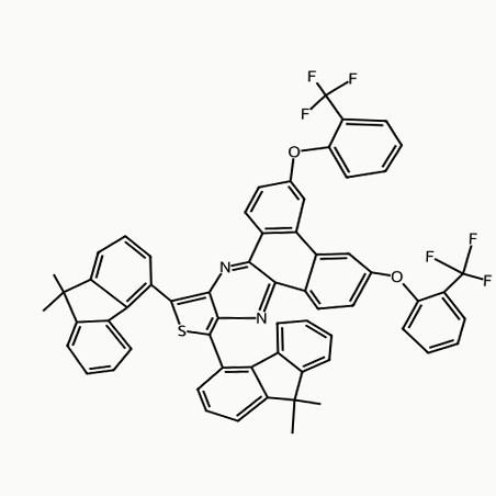 CC1(C)c2ccccc2-c2c(-c3sc(-c4cccc5c4-c4ccccc4C5(C)C)c4nc5c6ccc(Oc7ccccc7C(F)(F)F)cc6c6cc(Oc7ccccc7C(F)(F)F)ccc6c5nc34)cccc21